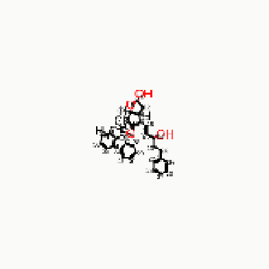 CC(C)(C)[Si](O[C@@H]1C[C@@H]2OC(O)C[C@@H]2[C@H]1C=CC(O)CCc1ccccc1)(c1ccccc1)c1ccccc1